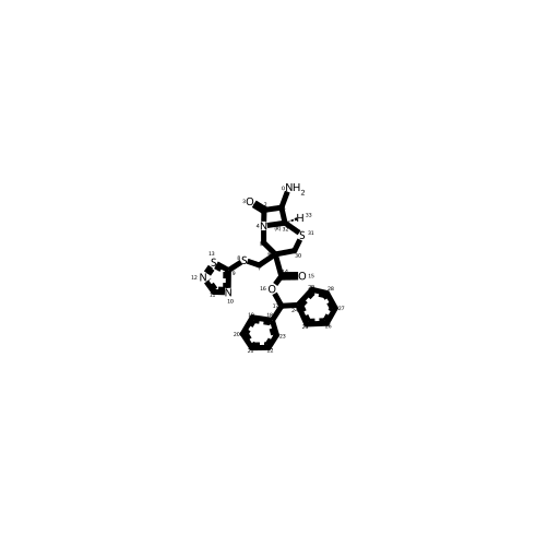 NC1C(=O)N2CC(CSc3ncns3)(C(=O)OC(c3ccccc3)c3ccccc3)CS[C@H]12